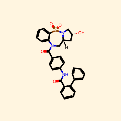 O=C(Nc1ccc(C(=O)N2C[C@H]3C[C@@H](O)CN3S(=O)(=O)c3ccccc32)cc1)c1ccccc1-c1ccccc1